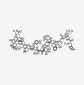 CC(C)C[C@H](NC(=O)[C@H](Cc1ccc(O)cc1)NC(=O)[C@H](CO)NC(=O)[C@H](CO)NC(=O)[C@@H](NC(=O)[C@H](CC(=O)O)NC(=O)[C@H](CO)NC(=O)[C@@H](NC(=O)[C@H](Cc1ccccc1)NC(=O)[C@@H](NC(=O)CNC(=O)[C@H](CCC(=O)O)NC(=O)[C@H](C)NC(=O)[C@@H](N)Cc1c[nH]cn1)[C@@H](C)O)[C@@H](C)O)C(C)C)C(=O)N[C@@H](CCC(=O)O)C(=O)NCC(=O)N[C@@H](CCC(N)=O)C(=O)N[C@@H](C)C(=O)N[C@@H](C)C(=O)N[C@@H](CCCCN)C(=O)O